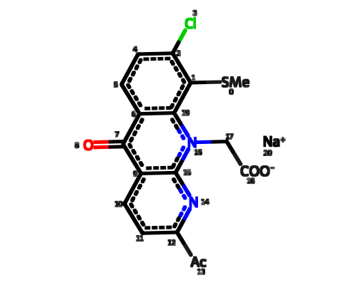 CSc1c(Cl)ccc2c(=O)c3ccc(C(C)=O)nc3n(CC(=O)[O-])c12.[Na+]